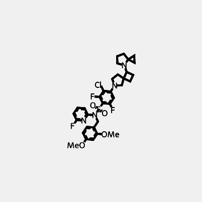 COc1ccc(CN(c2cccc(F)n2)S(=O)(=O)c2c(F)cc(N3CCC4(CCC4N4CCCC45CC5)C3)c(Cl)c2F)c(OC)c1